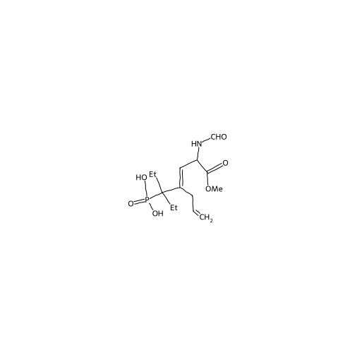 C=CCC(=CC(NC=O)C(=O)OC)C(CC)(CC)P(=O)(O)O